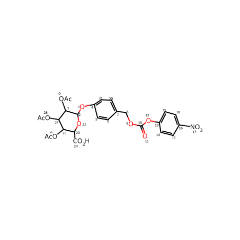 CC(=O)OC1C(Oc2ccc(COC(=O)Oc3ccc([N+](=O)[O-])cc3)cc2)OC(C(=O)O)C(OC(C)=O)C1OC(C)=O